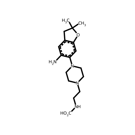 CC1(C)Cc2cc(N)c(N3CCN(CCNC(=O)O)CC3)cc2O1